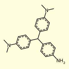 CN(C)c1ccc(C(c2ccc(N)cc2)c2ccc(N(C)C)cc2)cc1